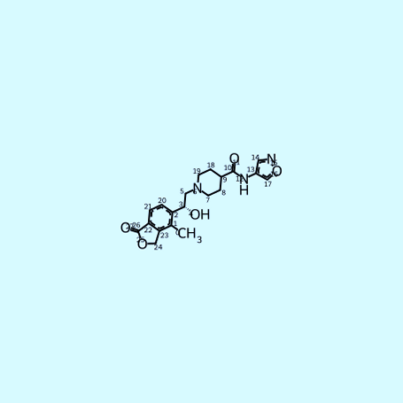 Cc1c([C@@H](O)CN2CCC(C(=O)Nc3cnoc3)CC2)ccc2c1COC2=O